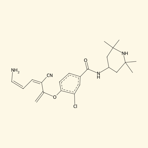 C=C(Oc1ccc(C(=O)NC2CC(C)(C)NC(C)(C)C2)cc1Cl)/C(C#N)=C\C=C/N